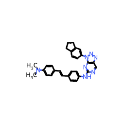 CN(C)c1ccc(C=Cc2ccc(Nc3ncc4nnn(-c5ccc6c(c5)CCC6)c4n3)cc2)cc1